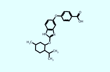 CC1CCC(C(C)C)C(Oc2nc3cc(Oc4ccc(C(=O)O)cc4)ccc3[nH]2)C1